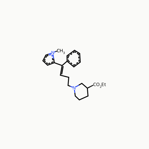 CCOC(=O)C1CCCN(CC/C=C(\c2ccccc2)c2cccn2C)C1